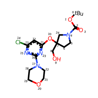 CC(C)(C)OC(=O)N1CCC(CO)(Oc2cc(Cl)nc(N3CCOCC3)n2)C1